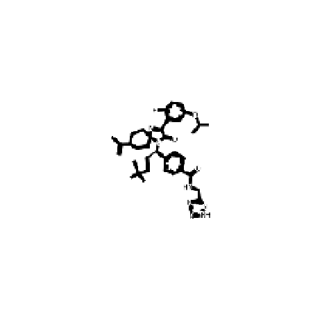 C=C(C)C1CCC2(CC1)N=C(c1cc(OC(C)C)ccc1F)C(=O)N2[C@H](CCC(C)(C)C)c1ccc(C(=O)NCc2nn[nH]n2)cc1